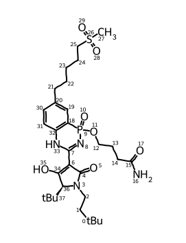 CC(C)(C)CCN1C(=O)C(C2=NP(=O)(OCCCC(N)=O)c3cc(CCCCCS(C)(=O)=O)ccc3N2)=C(O)[C@@H]1C(C)(C)C